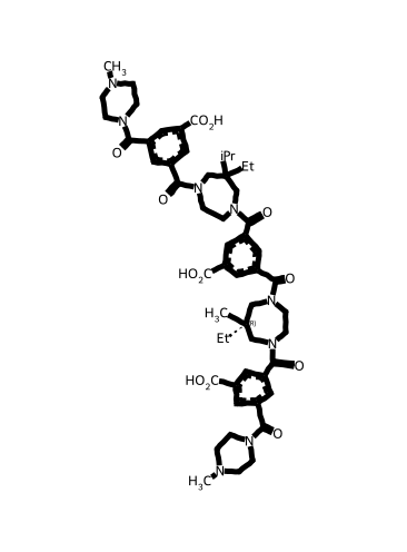 CCC1(C(C)C)CN(C(=O)c2cc(C(=O)O)cc(C(=O)N3CCN(C)CC3)c2)CCN(C(=O)c2cc(C(=O)O)cc(C(=O)N3CCN(C(=O)c4cc(C(=O)O)cc(C(=O)N5CCN(C)CC5)c4)C[C@](C)(CC)C3)c2)C1